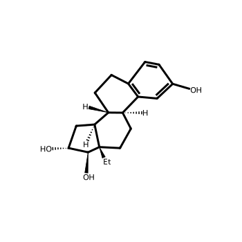 CC[C@]12CC[C@@H]3c4cc(O)ccc4CC[C@H]3[C@@H]1C[C@@H](O)[C@@H]2O